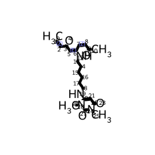 C/C=C\C(=O)/C=C(\C=C/C(C)=O)NCCCCCCNc1cc(=O)n(C)c(=O)n1C